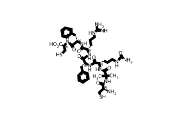 CC(C)(NC(=O)[C@@H](N)CS)C(=O)N[C@@H](CCCNC(N)=O)C(=O)N[C@H](Cc1ccccc1)C(=O)N[C@@H](CCCNC(=N)N)C(=O)N[C@@H](Cc1ccccc1)C(=O)N[C@@H](CS)C(=O)O